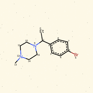 CCC(c1ccc(Br)cc1)N1CCN(C)CC1